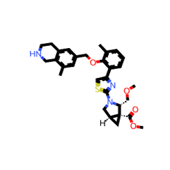 COC[C@H]1N(c2nc(-c3cccc(C)c3OCc3cc(C)c4c(c3)CCNC4)cs2)C[C@@H]2C[C@@]21C(=O)OC